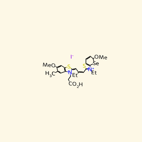 CCC(=Cc1sc2c([n+]1CC)[Se]C(OC)C=C2)C=C1Sc2cc(OC)c(C)cc2N1CCC(=O)O.[I-]